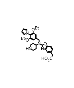 CCOc1cc(CN(c2nc3cc(CC(=O)O)ccc3o2)C2CCNCC2)cc(OCC)c1-n1cccc1